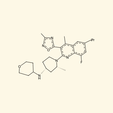 Cc1noc(-c2c(N3CC[C@@H](NC4CCOCC4)C[C@H]3C)nc3c(F)cc(C(C)C)cc3c2C)n1